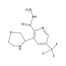 NNC(=O)c1ncc(C(F)(F)F)cc1C1COCCN1